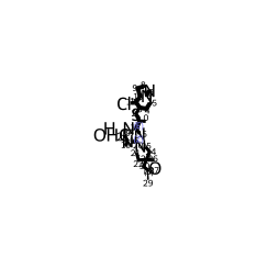 C/C(Sc1ccn2nccc2c1Cl)=C(N)\N=C(/N(C)C=O)N1CCC2(CC1)CO[C@@H](C)C2